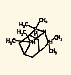 C[PH]1(C)C2CC3CC(C2)[PH](C)(C)N1[PH]3(C)C